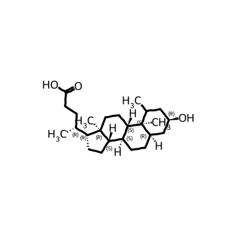 CC1C[C@@H](O)C[C@H]2CC[C@H]3[C@@H]4CC[C@H]([C@H](C)CCC(=O)O)[C@@]4(C)CC[C@@H]3[C@@]12C